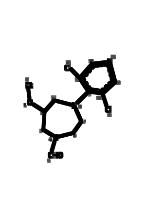 CCOC1CN(C=O)CCN(c2c(Cl)cncc2Cl)C1